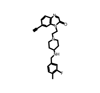 C#Cc1ccc2ncc(=O)n(CCN3CCC(NCc4ccc(C)c(F)c4)CC3)c2c1